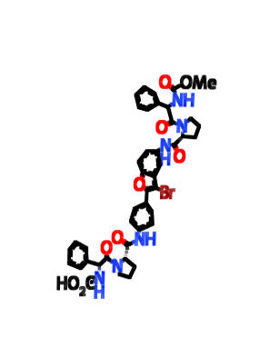 COC(=O)N[C@@H](C(=O)N1CCC[C@H]1C(=O)Nc1ccc2oc(-c3ccc(NC(=O)[C@@H]4CCCN4C(=O)[C@H](NC(=O)O)c4ccccc4)cc3)c(Br)c2c1)c1ccccc1